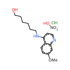 COc1ccc2c(NCCCCCCO)ccnc2c1.Cl.O=[N+]([O-])O